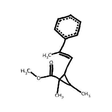 COC(=O)C1(C)C(C)C1C=C(C)c1ccccc1